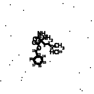 CSCCC(N)(C(N)=O)C(=O)OCc1ccccc1.Cl